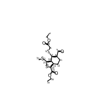 CCOC(=O)CSC1=C(C=O)CCc2c(C(=O)OCC)sc(SC)c21